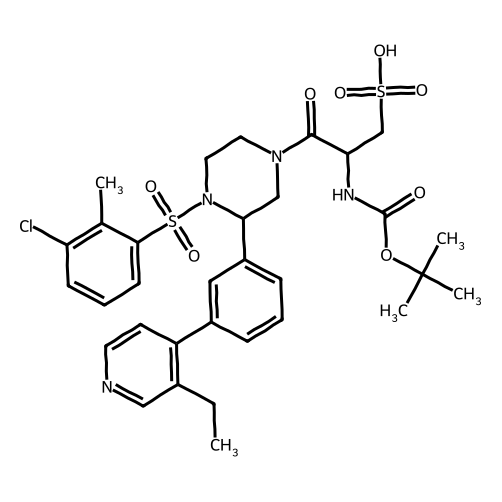 CCc1cnccc1-c1cccc(C2CN(C(=O)C(CS(=O)(=O)O)NC(=O)OC(C)(C)C)CCN2S(=O)(=O)c2cccc(Cl)c2C)c1